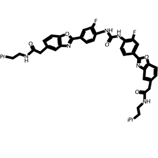 CC(C)CCNC(=O)Cc1ccc2oc(-c3ccc(NC(=O)Nc4ccc(-c5nc6cc(CC(=O)NCCC(C)C)ccc6o5)cc4F)c(F)c3)nc2c1